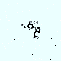 O=C(O)Cc1cncn1[C@@H]1O[C@H](CO)[C@@H](O)[C@H]1O